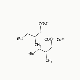 CC(CC(=O)[O-])CC(C)(C)C.CC(CC(=O)[O-])CC(C)(C)C.[Cu+2]